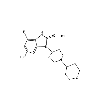 Cc1cc(F)c2[nH]c(=O)n(C3CCN(C4CCOCC4)CC3)c2c1.Cl